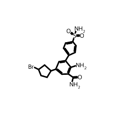 NC(=O)c1cc(C2CCC(Br)C2)cc(-c2ccc(S(N)(=O)=O)cc2)c1N